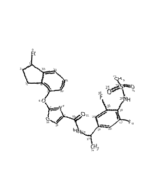 CCC1CCc2c(Oc3nc(C(=O)NC(C)c4cc(F)c(NS(C)(=O)=O)c(F)c4)co3)cccc21